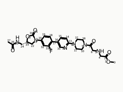 COC(=O)CNCC(=O)N1CCN(c2ccc(-c3ccc(N4C[C@H](CNC(C)=O)OC4=O)cc3F)cn2)CC1